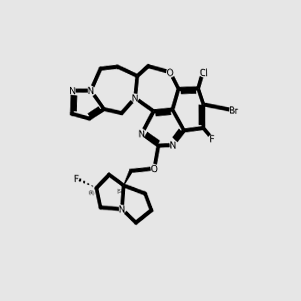 Fc1c(Br)c(Cl)c2c3c(nc(OC[C@@]45CCCN4C[C@H](F)C5)nc13)N1Cc3ccnn3CCC1CO2